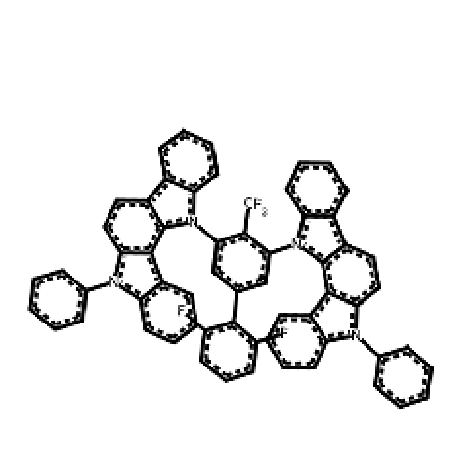 Fc1cccc(F)c1-c1cc(-n2c3ccccc3c3ccc4c(c5ccccc5n4-c4ccccc4)c32)c(C(F)(F)F)c(-n2c3ccccc3c3ccc4c(c5ccccc5n4-c4ccccc4)c32)c1